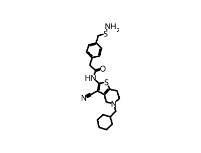 N#Cc1c(NC(=O)Cc2ccc(CSN)cc2)sc2c1CN(CC1CCCCC1)CC2